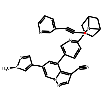 Cn1cc(-c2cc(-c3ccc(N4CC5CC(C4)N5CC#Cc4cccnc4)nc3)c3c(C#N)cnn3c2)cn1